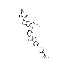 CCc1cc2c(ccn2C(=O)NC)cc1Oc1ccnc(NC(=O)c2ccc(C3CCN(CC)CC3)cc2)c1